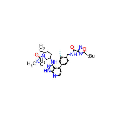 C[C@H]1CC[C@@H](Nc2n[nH]c3nccc(-c4ccc(CNC(=O)c5noc(C(C)(C)C)n5)c(F)c4)c23)CN1C(=O)N(C)C